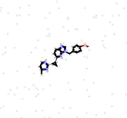 COc1ccc(Cn2cnc3ccc([C@H]4C[C@@H]4c4nccc(C)n4)nc32)cc1